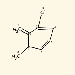 C=C1C(Cl)=CC=CC1C